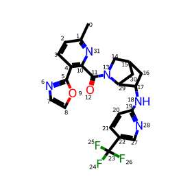 Cc1ccc(-c2ncco2)c(C(=O)N2CC3CC(Nc4ccc(C(F)(F)F)cn4)C2C3)n1